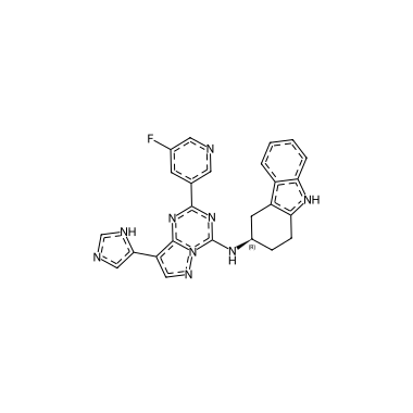 Fc1cncc(-c2nc(N[C@@H]3CCc4[nH]c5ccccc5c4C3)n3ncc(-c4cnc[nH]4)c3n2)c1